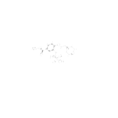 COC(=O)c1ccc(OCCN2CCOCC2)c(CNS(C)(=O)=O)c1